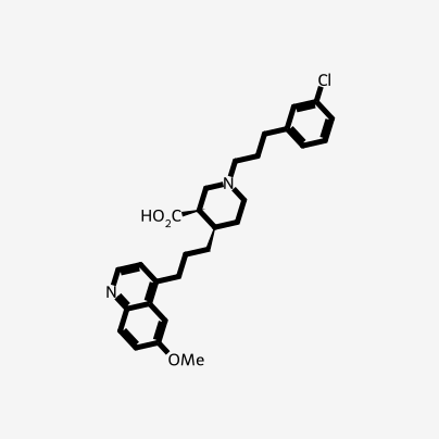 COc1ccc2nccc(CCC[C@@H]3CCN(CCCc4cccc(Cl)c4)C[C@@H]3C(=O)O)c2c1